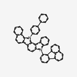 c1ccc(-c2ccc(-n3c4c5ccccc5ccc4c4ccc5c(c6ccccc6n5-c5cccc6c5-c5cccc7cccc-6c57)c43)cc2)cc1